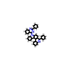 c1ccc(-c2nc(-n3c4ccccc4c4c5c(ccc43)c(-c3ccccc3)nc3ccccc35)c3ccccc3n2)cc1